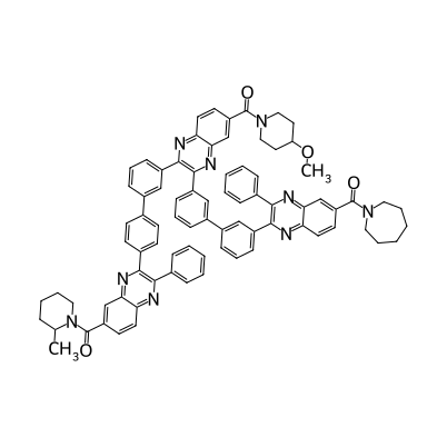 COC1CCN(C(=O)c2ccc3nc(-c4cccc(-c5ccc(-c6nc7cc(C(=O)N8CCCCC8C)ccc7nc6-c6ccccc6)cc5)c4)c(-c4cccc(-c5cccc(-c6nc7ccc(C(=O)N8CCCCCC8)cc7nc6-c6ccccc6)c5)c4)nc3c2)CC1